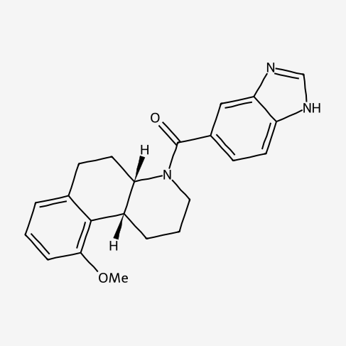 COc1cccc2c1[C@H]1CCCN(C(=O)c3ccc4[nH]cnc4c3)[C@H]1CC2